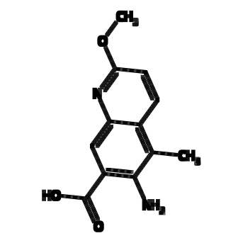 COc1ccc2c(C)c(N)c(C(=O)O)cc2n1